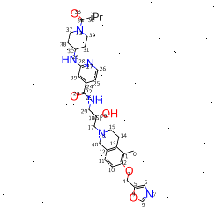 Cc1c(OCc2cnco2)ccc2c1CCN(C[C@@H](O)CNC(=O)c1ccnc(NC3CCN(C(=O)C(C)C)CC3)c1)C2